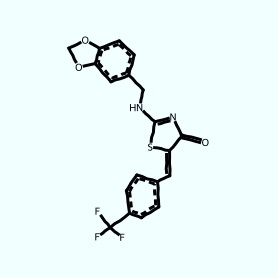 O=C1N=C(NCc2ccc3c(c2)OCO3)SC1=Cc1ccc(C(F)(F)F)cc1